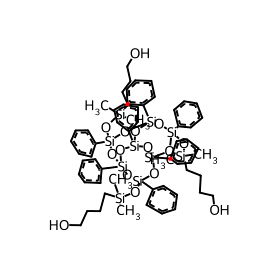 C[Si](C)(CCCCO)O[Si]1(c2ccccc2)O[Si]2(c3ccccc3)O[Si](O[Si](C)(C)CCCCO)(c3ccccc3)O[Si]3(c4ccccc4)O[Si](O[Si](C)(C)CCCCO)(c4ccccc4)O[Si](c4ccccc4)(O1)O[Si](c1ccccc1)(O2)O3